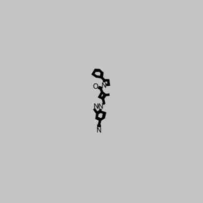 CC1=C(Cn2ncc3cc(C#N)ccc32)CC1C(=O)N1CCC1C1=CC=CCC1